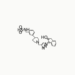 O=[SH](=O)NCc1cccc(C2CCN(Cc3cn([C@H]4c5ccccc5C[C@@H]4O)nn3)CC2)c1